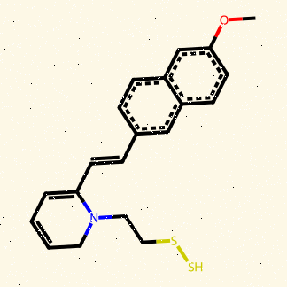 COc1ccc2cc(/C=C/C3=CC=CCN3CCSS)ccc2c1